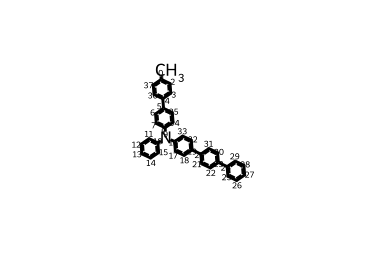 Cc1ccc(-c2ccc(N(c3ccccc3)c3ccc(-c4ccc(-c5ccccc5)cc4)cc3)cc2)cc1